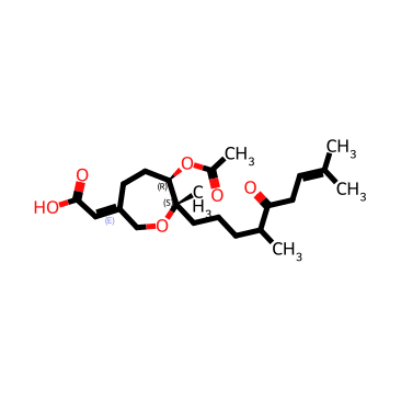 CC(=O)O[C@@H]1CC/C(=C\C(=O)O)CO[C@@]1(C)CCCC(C)C(=O)CC=C(C)C